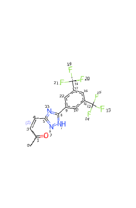 CC(=O)/C=C\c1n[nH]c(-c2cc(C(F)(F)F)cc(C(F)(F)F)c2)n1